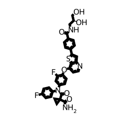 NC(=O)C1(C(=O)N(c2ccc(F)cc2)c2ccc(Oc3ccnc4cc(-c5ccc(C(=O)NC[C@@H](O)CO)cc5)sc34)c(F)c2)CC1